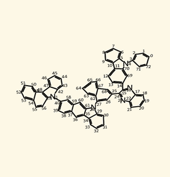 c1ccc(-n2c3ccccc3c3ccc(-c4nc5ccccc5nc4-c4cc(-n5c6ccccc6c6cc7ccc(-n8c9ccccc9c9c%10ccccc%10ccc98)cc7cc65)c5ccccc5c4)cc32)cc1